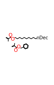 C=C(C)C(=O)OCCCCCCCCCCCCCCCCCCCC.C=C(C)C(=O)OCc1ccccc1